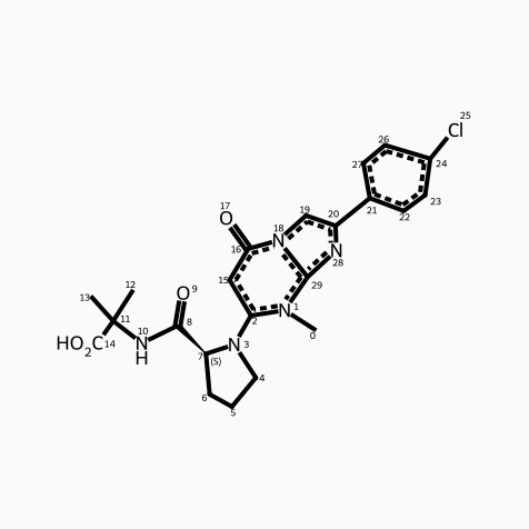 Cn1c(N2CCC[C@H]2C(=O)NC(C)(C)C(=O)O)cc(=O)n2cc(-c3ccc(Cl)cc3)nc12